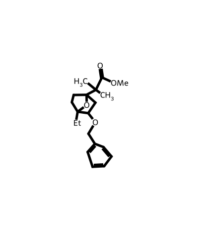 CCC12CCC(C(C)(C)C(=O)OC)(CC1OCc1ccccc1)O2